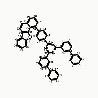 c1ccc(-c2cccc(-c3nc(-c4ccc(-c5cccc6ccc7c8ccccc8oc7c56)cc4)nc(-c4cccc(-c5ccccc5)c4)n3)c2)cc1